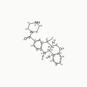 CC1(C)c2cc(C(=O)N3CCNCC3)ccc2N(F)[C@@H]2c3ccccc3OC[C@@H]21